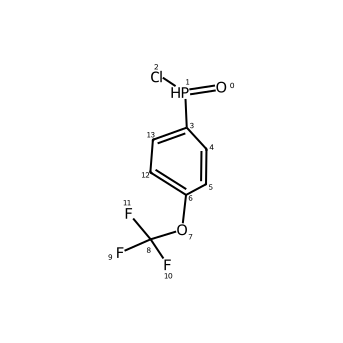 O=[PH](Cl)c1ccc(OC(F)(F)F)cc1